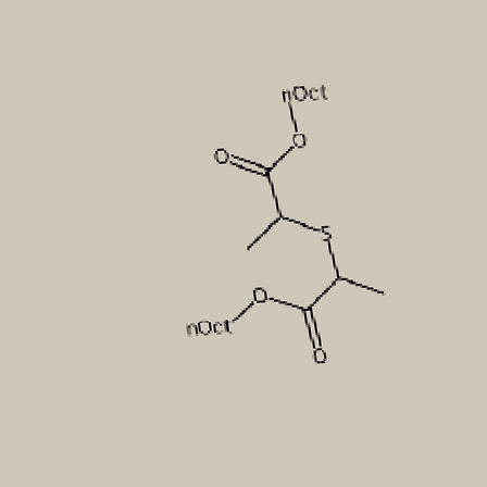 CCCCCCCCOC(=O)C(C)SC(C)C(=O)OCCCCCCCC